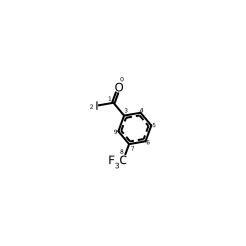 O=C(I)c1cccc(C(F)(F)F)c1